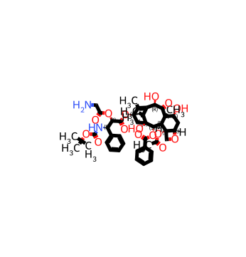 CC(=O)O[C@@]12CO[C@@H]1C[C@H](O)[C@@]1(C)C(=O)[C@H](O)C3=C(C)[C@@H](OC(=O)[C@H](OC(=O)CN)[C@@H](NC(=O)OC(C)(C)C)c4ccccc4)C[C@@](O)([C@@H](OC(=O)c4ccccc4)[C@H]21)C3(C)C